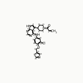 C=CC(=O)N1CCC(c2c[nH]c3ncnc(Nc4ccc(OCc5cncs5)c(Cl)c4)c23)CC1